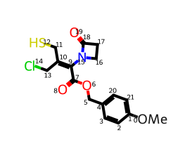 COc1ccc(COC(=O)/C(=C(/CS)CCl)N2CCC2=O)cc1